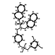 Cc1cc(C)cc(C[N+](C)(C)Cc2ccc(CN(Cc3ccc4ccccc4c3)S(=O)(=O)c3ccc4ccccc4c3)cc2)c1